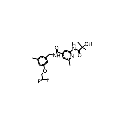 Cc1cc(CNC(=O)c2cc(C)nc(NC(=O)C(C)(C)O)c2)cc(OCC(F)F)c1